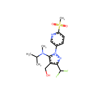 CC(C)N(C)c1c(CO)c(C(F)F)nn1-c1ccc(S(C)(=O)=O)nc1